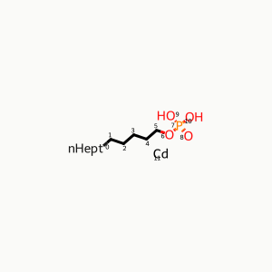 CCCCCCCCCCCCOP(=O)(O)O.[Cd]